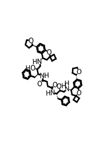 O=C(CCC(=O)N[C@@H](Cc1ccccc1)[C@@H](O)CN[C@H]1CC2(CCC2)Oc2ccc([C@H]3CCCO3)cc21)N[C@@H](Cc1ccccc1)[C@@H](O)CN[C@H]1CC2(CCC2)Oc2ccc([C@@H]3CCCO3)cc21